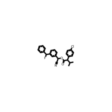 CC(C)C(C(=O)OC(C#N)c1cccc(C(F)c2ccccc2)c1)c1ccc(Cl)cc1